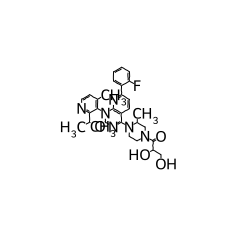 Cc1ccnc(C(C)C)c1-n1c(=O)nc(N2CCN(C(=O)C(O)CO)CC2C)c2ccc(-c3ccccc3F)nc21